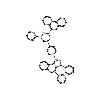 c1ccc(-c2nc(-c3ccc(-n4nc(-c5ccccc5)c5c(-c6ccccc6)cc6ccccc6c54)cc3)nc(-c3cc4ccccc4c4ccccc34)n2)cc1